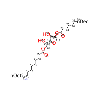 CCCCCCCC/C=C\CCCCCCCC(=O)OC[C@@H](O)[C@H]1OC[C@H](OC(=O)CCCCCCCCCCCCCCC)[C@H]1O